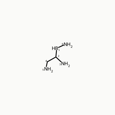 NBC(N)CN